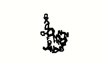 C=CC(=O)N1CC[C@H](Oc2ccc3ncnc(Nc4ccc(OCC5(C)COC5)c(Cl)c4F)c3n2)C1